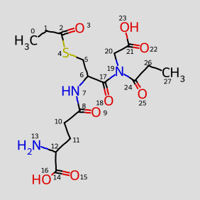 CCC(=O)SCC(NC(=O)CCC(N)C(=O)O)C(=O)N(CC(=O)O)C(=O)CC